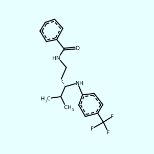 CC(C)[C@H](CCNC(=O)c1ccccc1)Nc1ccc(C(F)(F)F)cc1